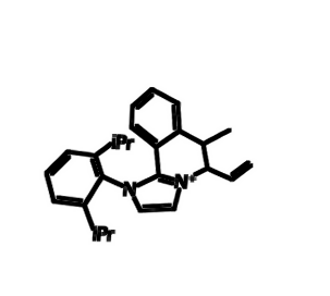 C=CC1C(C)c2ccccc2-c2n(-c3c(C(C)C)cccc3C(C)C)cc[n+]21